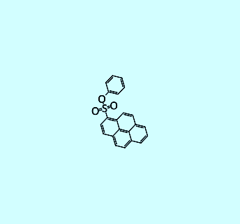 O=S(=O)(Oc1ccccc1)c1ccc2ccc3cccc4ccc1c2c34